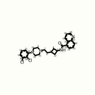 O=C(NC1CC(CCN2CCN(c3cccc(Cl)c3Cl)CC2)C1)c1cccc2ncccc12